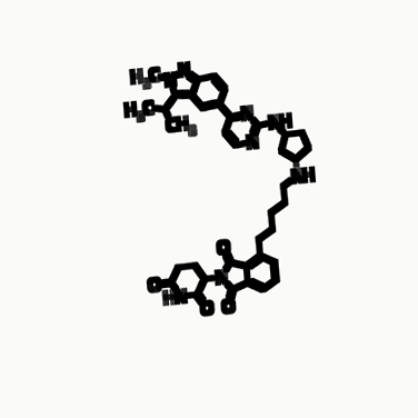 CC(C)c1c2cc(-c3ccnc(N[C@H]4CC[C@H](NCCCCCc5cccc6c5C(=O)N(C5CCC(=O)NC5=O)C6=O)C4)n3)ccc2nn1C